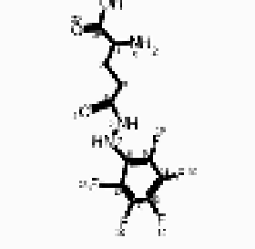 NC(CCC(=O)NNc1c(F)c(F)c(F)c(F)c1F)C(=O)O